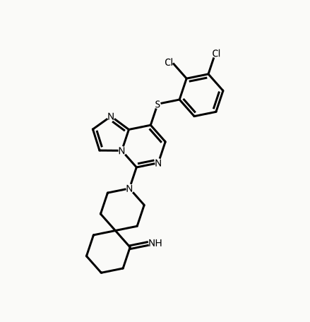 N=C1CCCCC12CCN(c1ncc(Sc3cccc(Cl)c3Cl)c3nccn13)CC2